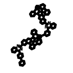 c1ccc(-c2ccc(-c3nc(-c4ccc5cc6c(cc5c4)C4(c5ccccc5-c5ccccc54)c4c-6c5ccccc5c5cc(-c6cccc(-c7nc(-c8ccc9cc%10c(cc9c8)C8(c9ccccc9-c9ccccc98)c8c-%10c9ccccc9c9ccccc89)nc8ccccc78)c6)ccc45)nc4ccccc34)cc2)cc1